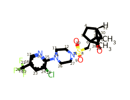 CC1(C)[C@@H]2CC[C@@]1(CS(=O)(=O)N1CCN(c3ncc(C(F)(F)F)cc3Cl)CC1)C(=O)C2